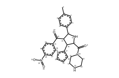 Cc1ccc(C2NC(C(=O)N3CCNCC3)C(c3cccs3)C2C(=O)c2ccc([N+](=O)[O-])cc2)cc1